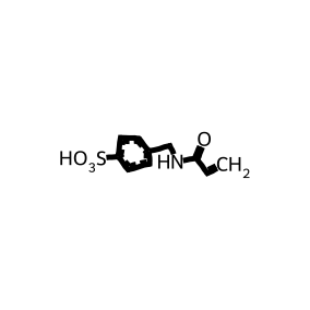 C=CC(=O)NCc1ccc(S(=O)(=O)O)cc1